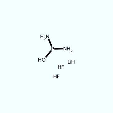 F.F.NP(N)O.[LiH]